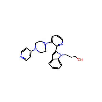 OCCCn1c(-c2ncccc2N2CCN(c3ccncc3)CC2)cc2ccccc21